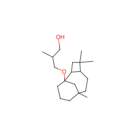 CC(CO)COC12CCCC(C)(CCC3C1CC3(C)C)C2